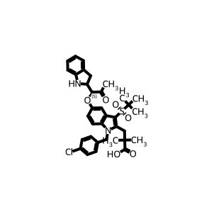 CC(=O)[C@@H](Oc1ccc2c(c1)c(S(=O)(=O)C(C)(C)C)c(CC(C)(C)C(=O)O)n2Cc1ccc(Cl)cc1)C1Cc2ccccc2N1